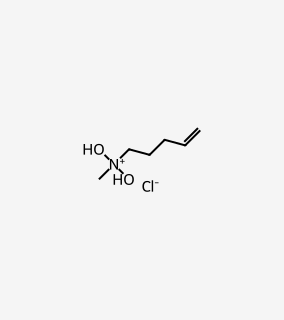 C=CCCC[N+](C)(O)O.[Cl-]